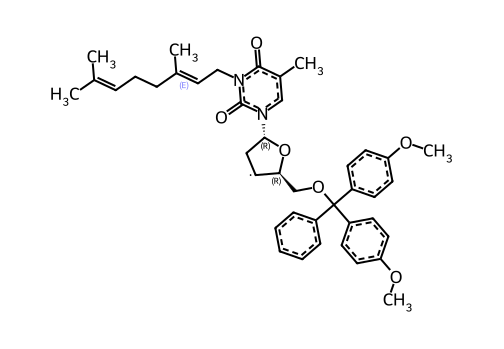 COc1ccc(C(OC[C@H]2[CH]C[C@H](n3cc(C)c(=O)n(C/C=C(\C)CCC=C(C)C)c3=O)O2)(c2ccccc2)c2ccc(OC)cc2)cc1